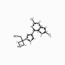 N#CCC1(n2cc(-c3nc(Cl)nc4cc(Cl)sc34)cn2)CNC1